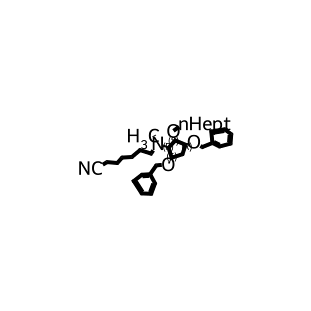 CCCCCCCO[C@H]1[C@H](N(C)CCCCCCC#N)[C@@H](OCc2ccccc2)C[C@H]1OCc1ccccc1